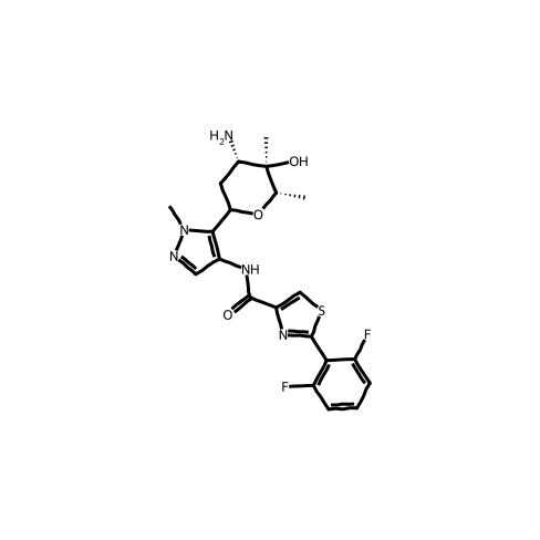 C[C@@H]1OC(c2c(NC(=O)c3csc(-c4c(F)cccc4F)n3)cnn2C)C[C@H](N)[C@@]1(C)O